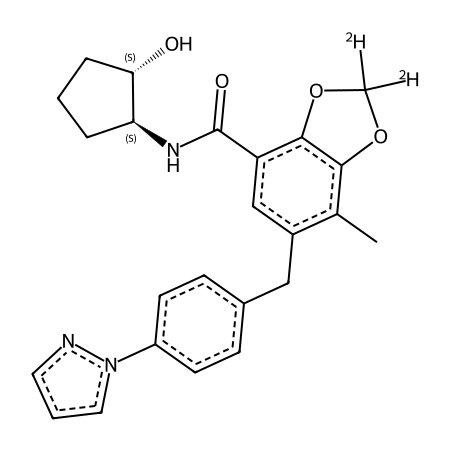 [2H]C1([2H])Oc2c(C(=O)N[C@H]3CCC[C@@H]3O)cc(Cc3ccc(-n4cccn4)cc3)c(C)c2O1